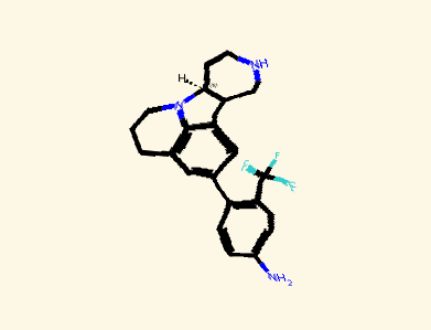 Nc1ccc(-c2cc3c4c(c2)C2CNCC[C@@H]2N4CCC3)c(C(F)(F)F)c1